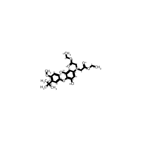 CCOC(=O)CN(CC(=O)OCC)c1cc(Cl)c(Oc2ccc(OC)c(C(C)(C)C)c2)c(Cl)c1